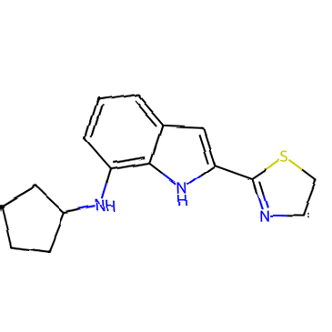 [C]1CSC(c2cc3cccc(NC4CCCC4)c3[nH]2)=N1